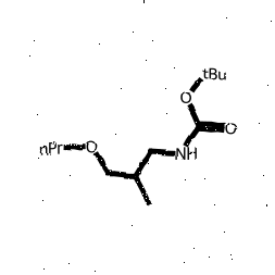 CCCOCC(C)CNC(=O)OC(C)(C)C